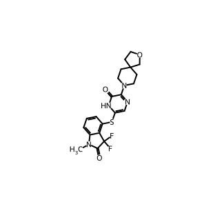 CN1C(=O)C(F)(F)c2c(Sc3cnc(N4CCC5(CCOC5)CC4)c(=O)[nH]3)cccc21